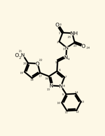 O=C1CN(N=Cc2cn(-c3ccccc3)nc2-c2ccc([N+](=O)[O-])o2)C(=O)N1